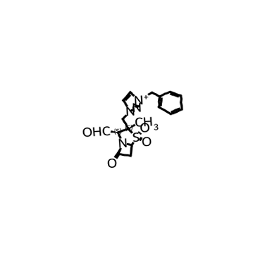 C[C@]1(Cn2cc[n+](Cc3ccccc3)n2)[C@H](C=O)N2C(=O)CC2S1(=O)=O